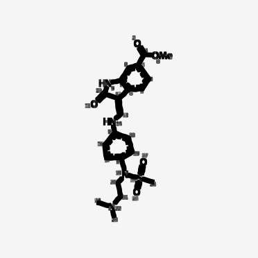 COC(=O)c1ccc2c(c1)NC(=O)C2=CNc1ccc(N(CCN(C)C)S(C)(=O)=O)cc1